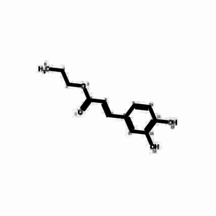 CCCOC(=O)C=Cc1ccc(O)c(O)c1